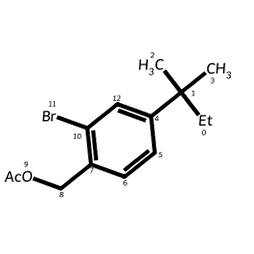 CCC(C)(C)c1ccc(COC(C)=O)c(Br)c1